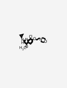 COc1cc(NC2CC2)nc2c(Cl)c(OCCN3CCOCC3)ccc12